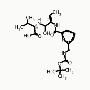 C/C=C(\NC(=O)c1cccc(CNC(=O)OC(C)(C)C)n1)C(O)N[C@H](C(=O)O)C(C)C